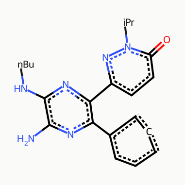 CCCCNc1nc(-c2ccc(=O)n(C(C)C)n2)c(-c2ccccc2)nc1N